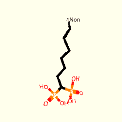 CCCCCCCCCCCCCCCC(P(=O)(O)O)P(=O)(O)O